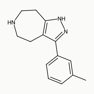 Cc1cccc(-c2n[nH]c3c2CCNCC3)c1